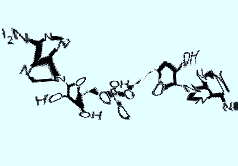 Nc1ncnc2c1ncn2[C@@H]1O[C@H](COP(=O)(O)OC[C@@H]2C[C@@H](O)[C@H](n3cnc4c(N)ncnc43)O2)[C@@H](O)[C@H]1O